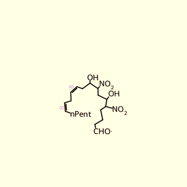 CCCCC/C=C\C/C=C\CC(O)C(CC(O)C(CCC[C]=O)[N+](=O)[O-])[N+](=O)[O-]